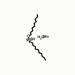 CCCCCCCCCCOP(=S)(S)OCCCCCCCCCC.O.[Mo]